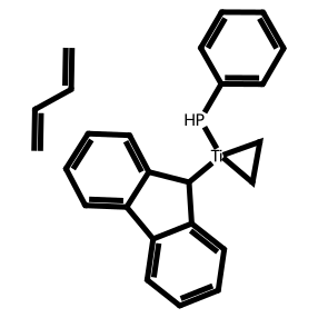 C=CC=C.c1ccc([PH][Ti]2([CH]3c4ccccc4-c4ccccc43)[CH2][CH2]2)cc1